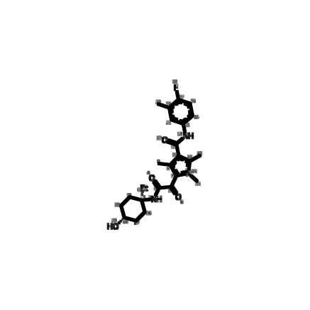 CC[C@]1(NC(=O)C(=O)c2c(C)c(C(=O)Nc3ccc(F)c(C)c3)c(C)n2C)CC[C@H](O)CC1